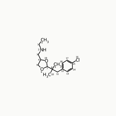 CCNCC1COC(C(C)(C)Cc2ccc(Cl)cc2)O1